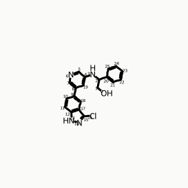 OCC(Nc1cncc(-c2ccc3[nH]nc(Cl)c3c2)c1)c1ccccc1